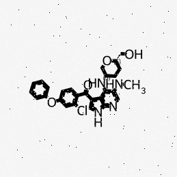 CNc1cnc2[nH]cc(C(=O)c3ccc(Oc4ccccc4)cc3Cl)c2c1N[C@H]1CC[C@@H](CO)OC1